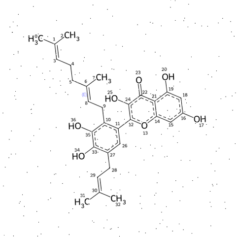 CC(C)=CCC/C(C)=C/Cc1c(-c2oc3cc(O)cc(O)c3c(=O)c2O)cc(CC=C(C)C)c(O)c1O